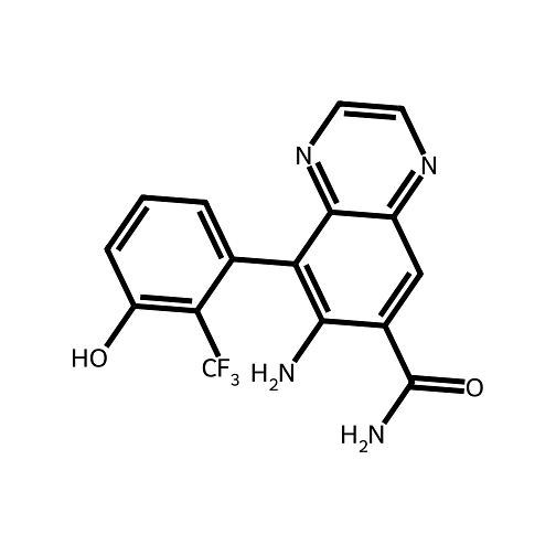 NC(=O)c1cc2nccnc2c(-c2cccc(O)c2C(F)(F)F)c1N